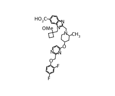 COC1(Cn2c(CN3CC[C@H](Oc4ccnc(COc5ccc(F)cc5F)n4)C[C@@H]3C)nc3ccc(C(=O)O)cc32)CCC1